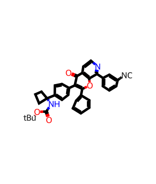 [C-]#[N+]c1cccc(-c2nccc3c(=O)c(-c4ccc(C5(NC(=O)OC(C)(C)C)CCC5)cc4)c(-c4ccccc4)oc23)c1